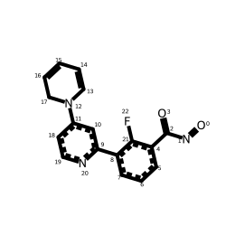 O=NC(=O)c1cccc(-c2cc(N3C=CC=CC3)ccn2)c1F